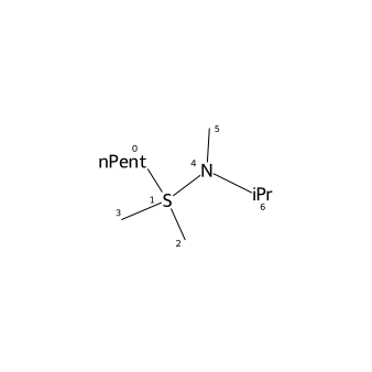 CCCCCS(C)(C)N(C)C(C)C